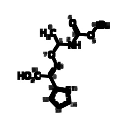 CC(NC(=O)OC(C)(C)C)O/N=C(\C(=O)O)c1cccs1